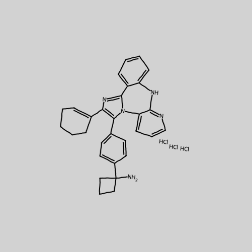 Cl.Cl.Cl.NC1(c2ccc(-c3c(C4=CCCCC4)nc4n3-c3cccnc3Nc3ccccc3-4)cc2)CCC1